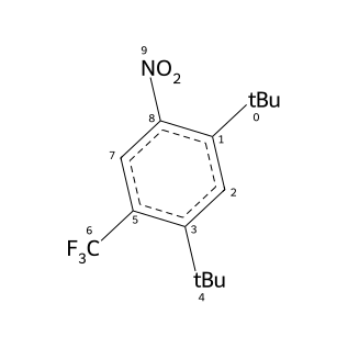 CC(C)(C)c1cc(C(C)(C)C)c(C(F)(F)F)cc1[N+](=O)[O-]